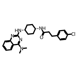 CN(C)c1nc(N[C@H]2CC[C@@H](NC(=O)CCc3ccc(Cl)cc3)CC2)nc2ccccc12